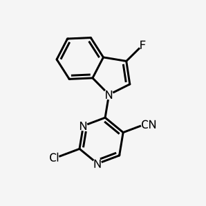 N#Cc1cnc(Cl)nc1-n1cc(F)c2ccccc21